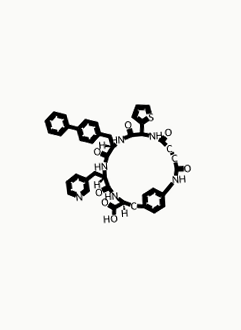 O=C1CCC(=O)NC(c2cccs2)C(=O)N[C@@H](Cc2ccc(-c3ccccc3)cc2)C(=O)N[C@@H](Cc2cccnc2)C(=O)N[C@H](C(=O)O)Cc2ccc(cc2)N1